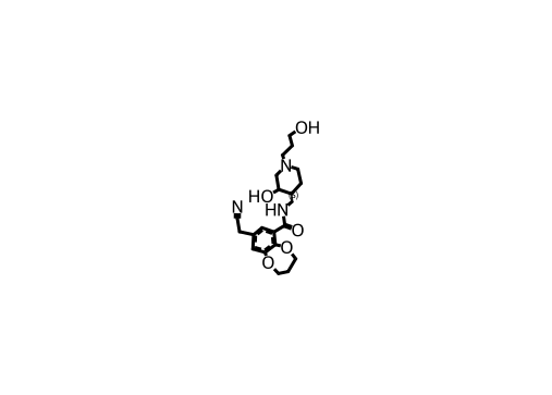 N#CCc1cc2c(c(C(=O)NC[C@@H]3CCN(CCCO)CC3O)c1)OCCCO2